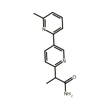 Cc1cccc(-c2ccc(C(C)C(N)=O)nc2)n1